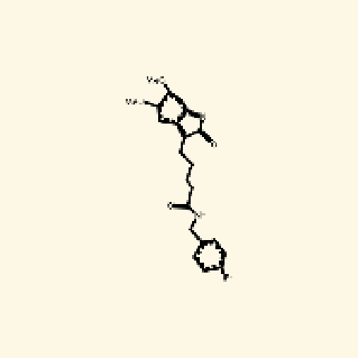 COc1cc2c(cc1OC)=C(CCCCC(=O)NCc1ccc(C(C)C)cc1)C(=O)N=2